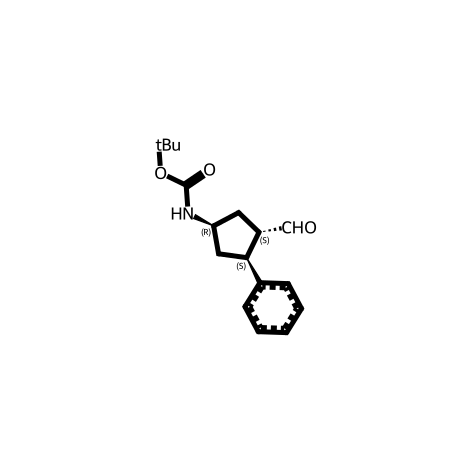 CC(C)(C)OC(=O)N[C@@H]1C[C@H](c2ccccc2)[C@@H](C=O)C1